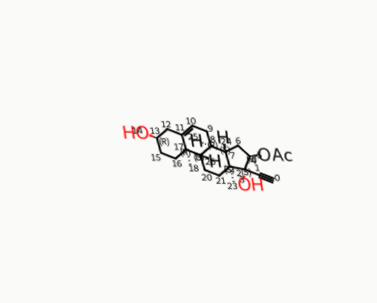 C#C[C@]1(O)[C@H](OC(C)=O)C[C@H]2[C@@H]3CC=C4C[C@H](O)CC[C@]4(C)[C@H]3CC[C@@]21C